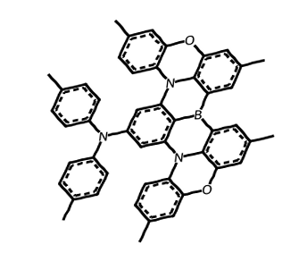 Cc1ccc(N(c2ccc(C)cc2)c2cc3c4c(c2)N2c5ccc(C)cc5Oc5cc(C)cc(c52)B4c2cc(C)cc4c2N3c2ccc(C)cc2O4)cc1